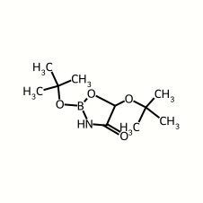 CC(C)(C)OB1NC(=O)C(OC(C)(C)C)O1